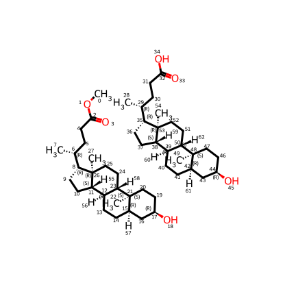 COC(=O)CC[C@@H](C)[C@H]1CC[C@H]2[C@@H]3CC[C@@H]4C[C@H](O)CC[C@]4(C)[C@H]3CC[C@]12C.C[C@H](CCC(=O)O)[C@H]1CC[C@H]2[C@@H]3CC[C@@H]4C[C@H](O)CC[C@]4(C)[C@H]3CC[C@]12C